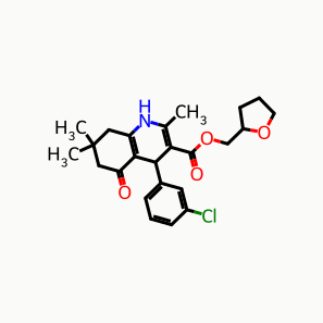 CC1=C(C(=O)OCC2CCCO2)C(c2cccc(Cl)c2)C2=C(CC(C)(C)CC2=O)N1